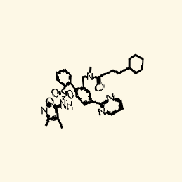 Cc1noc(NS(=O)(=O)c2ccccc2-c2ccc(-c3ncccn3)cc2CN(C)C(=O)CCC2CCCCC2)c1C